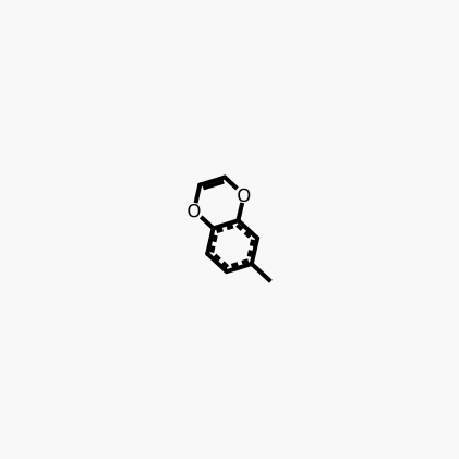 Cc1ccc2c(c1)OC=CO2